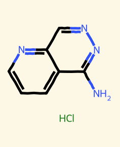 Cl.Nc1nncc2ncccc12